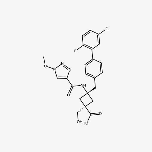 COn1cc(C(=O)N[C@]2(Cc3ccc(-c4cc(Cl)ccc4F)cc3)C[C@@](CO)(C(=O)O)C2)nn1